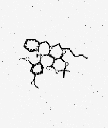 CCCCCCN(Cc1ccccn1)C(Nc1ccc(OC)cc1OC)=C1C(=O)OC(C)(C)OC1=O